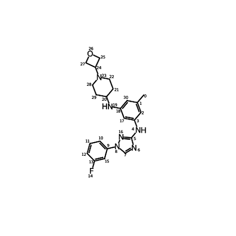 Cc1cc(Nc2ncn(-c3cccc(F)c3)n2)cc(NC2CCN(C3COC3)CC2)c1